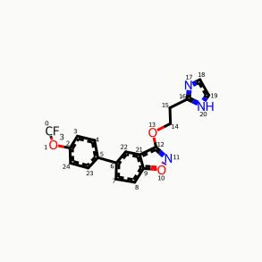 FC(F)(F)Oc1ccc(-c2ccc3onc(OCCc4ncc[nH]4)c3c2)cc1